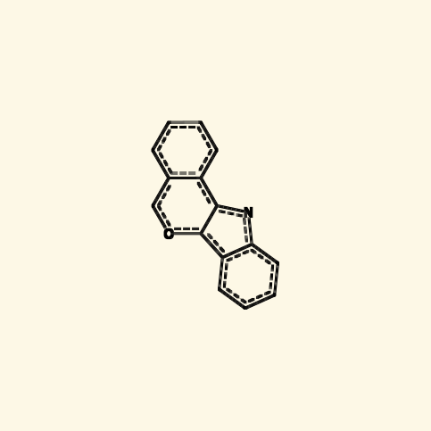 c1ccc2c3nc4ccccc4c-3occ2c1